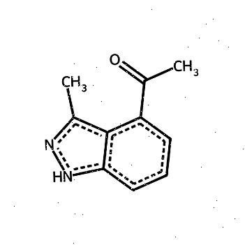 CC(=O)c1cccc2[nH]nc(C)c12